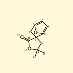 CC1(C)CC2(Cc3ccc2o3)C(=O)O1